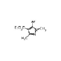 CCOC(=O)c1c(C)nn(C)c1C(C)=O